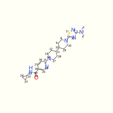 CN(C)c1nsc(N2CCC(C3CCN(c4ccc(C(=O)NC5CC5)cn4)CC3)CC2)n1